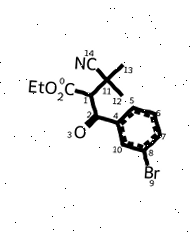 CCOC(=O)C(C(=O)c1cccc(Br)c1)C(C)(C)C#N